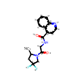 N#CC1CC(F)(F)CN1C(=O)CNC(=O)c1ccnc2ccccc12